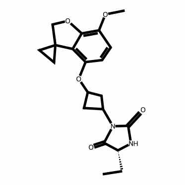 CC[C@H]1NC(=O)N(C2CC(Oc3ccc(OC)c4c3C3(CC3)CO4)C2)C1=O